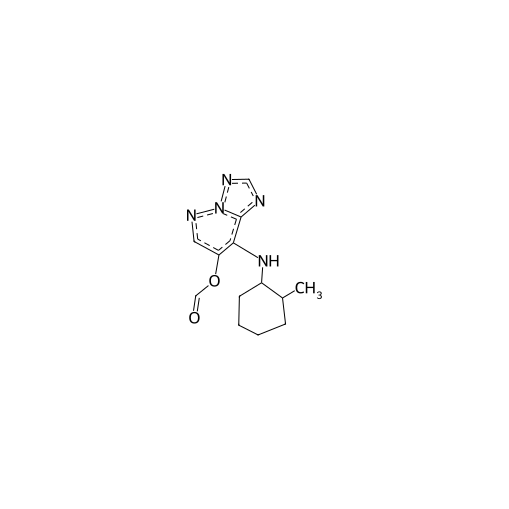 CC1CCCCC1Nc1c(OC=O)cnn2ncnc12